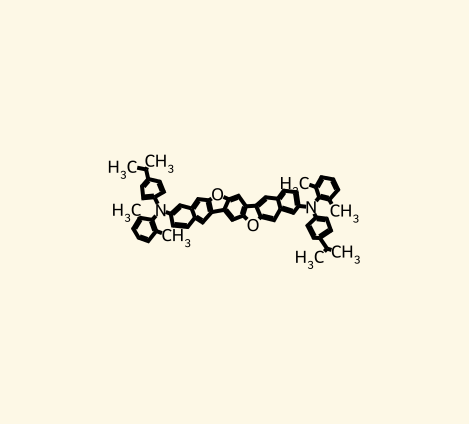 Cc1cccc(C)c1N(c1ccc(C(C)C)cc1)c1ccc2cc3c(cc2c1)oc1cc2c(cc13)oc1cc3cc(N(c4ccc(C(C)C)cc4)c4c(C)cccc4C)ccc3cc12